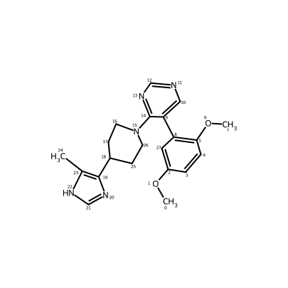 COc1ccc(OC)c(-c2cncnc2N2CCC(c3nc[nH]c3C)CC2)c1